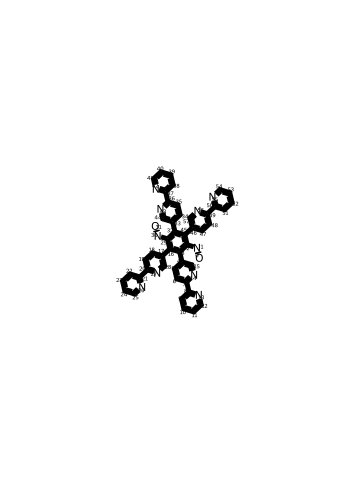 O=Nc1c(-c2ccc(-c3ccccn3)nc2)c(-c2ccc(-c3ccccn3)nc2)c(N=O)c(-c2ccc(-c3ccccn3)nc2)c1-c1ccc(-c2ccccn2)nc1